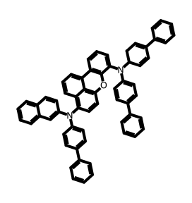 C1=CC(N(c2ccc(-c3ccccc3)cc2)c2cccc3c2Oc2ccc(N(c4ccc(-c5ccccc5)cc4)c4ccc5ccccc5c4)c4cccc-3c24)CC=C1c1ccccc1